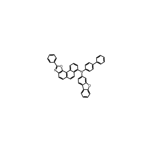 c1ccc(-c2ccc(N(c3ccc4c(c3)oc3ccccc34)c3cccc4c3ccc3ccc5nc(-c6ccccc6)oc5c34)cc2)cc1